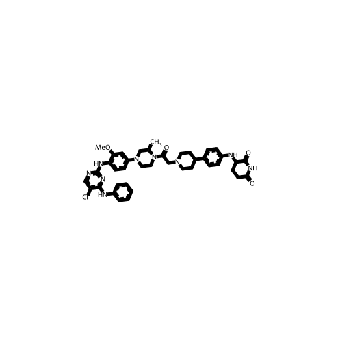 COc1cc(N2CCN(C(=O)CN3CCC(c4ccc(NC5CCC(=O)NC5=O)cc4)CC3)C(C)C2)ccc1Nc1ncc(Cl)c(Nc2ccccc2)n1